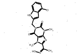 C/C(=N/O)c1nc2c(c(=O)n(Cc3cc4c(Cl)cccc4[nH]3)c(=O)n2C)n1C